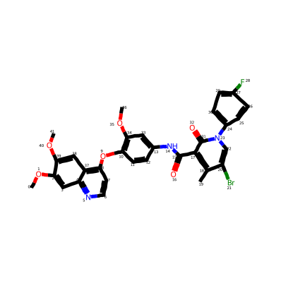 COc1cc2nccc(Oc3ccc(NC(=O)c4c(C)c(Br)cn(-c5ccc(F)cc5)c4=O)cc3OC)c2cc1OC